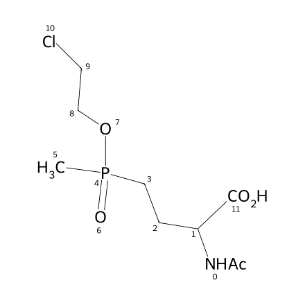 CC(=O)NC(CCP(C)(=O)OCCCl)C(=O)O